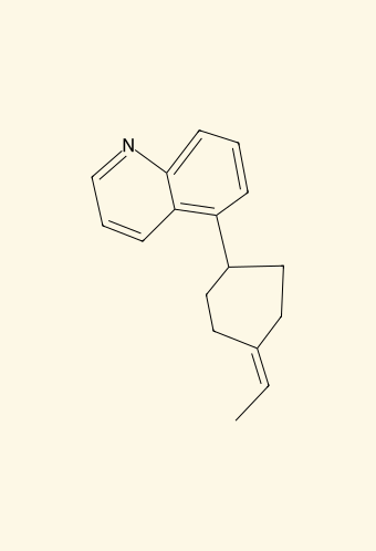 CC=C1CCC(c2cccc3ncccc23)CC1